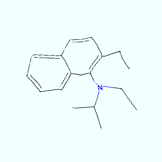 CCc1ccc2ccccc2c1N(CC)C(C)C